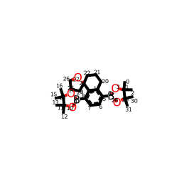 CC1(C)OB(c2ccc(B3OC(C)(C)C(C)(C)O3)c3c2CCCC32CCCO2)OC1(C)C